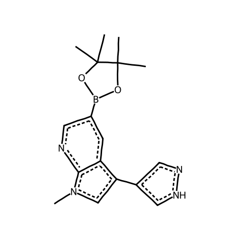 Cn1cc(-c2cn[nH]c2)c2cc(B3OC(C)(C)C(C)(C)O3)cnc21